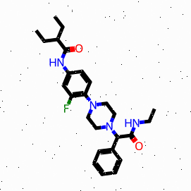 CCNC(=O)C(c1ccccc1)N1CCN(c2ccc(NC(=O)C(CC)CC)cc2F)CC1